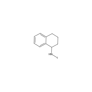 INC1CCCc2ccccc21